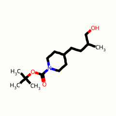 CC(CO)CCC1CCN(C(=O)OC(C)(C)C)CC1